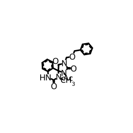 CC(=O)N1C(=O)N(COCc2ccccc2)C(=O)C12c1ccccc1NC(=O)N2C